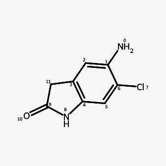 Nc1cc2c(cc1Cl)NC(=O)C2